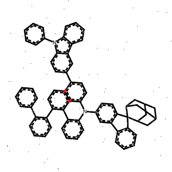 c1ccc(-c2ccccc2-c2ccccc2-c2ccccc2N(c2ccc(-c3ccc4c(c3)c3ccccc3n4-c3ccccc3)cc2)c2ccc3c(c2)-c2ccccc2C32C3CC4CC(C3)CC2C4)cc1